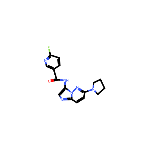 O=C(Nc1cnc2ccc(N3CCCC3)nn12)c1ccc(F)nc1